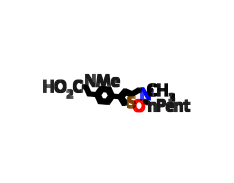 CCCCCC(=O)N(C)Cc1cc(-c2ccc(C[C@H](NC)C(=O)O)cc2)cs1